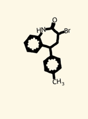 Cc1ccc(C2CC(Br)C(=O)Nc3ccccc32)cc1